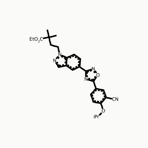 CCOC(=O)C(C)(C)CCn1ncc2cc(-c3noc(-c4ccc(OC(C)C)c(C#N)c4)n3)ccc21